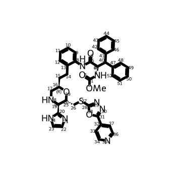 COC(=O)N[C@H](C(=O)Nc1ccccc1CC[C@@H]1CN[C@H](c2ncc[nH]2)[C@@H](CSc2nnc(-c3ccncc3)o2)O1)C(c1ccccc1)c1ccccc1